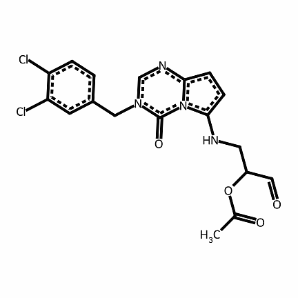 CC(=O)OC(C=O)CNc1ccc2ncn(Cc3ccc(Cl)c(Cl)c3)c(=O)n12